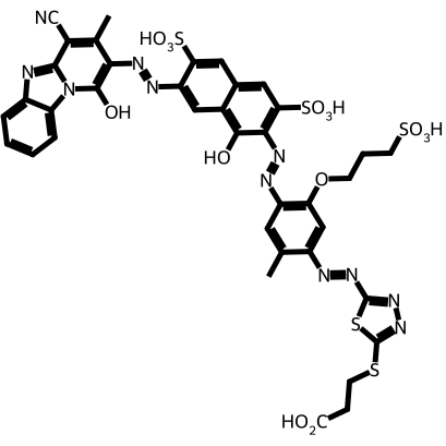 Cc1cc(N=Nc2c(S(=O)(=O)O)cc3cc(S(=O)(=O)O)c(N=Nc4c(C)c(C#N)c5nc6ccccc6n5c4O)cc3c2O)c(OCCCS(=O)(=O)O)cc1N=Nc1nnc(SCCC(=O)O)s1